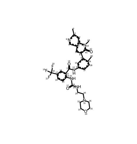 Cc1cc2c(cn1)cc(-c1cc(NC(=O)c3cc(C(F)(F)F)ccc3NC(=O)NCCN3CCOCC3)ccc1C)c(=O)n2C